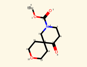 CC(C)(C)OC(=O)N1CCC(=O)C2(CCOCC2)C1